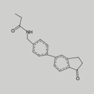 CCC(=O)NCc1ccc(-c2ccc3c(c2)CCC3=O)cc1